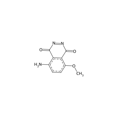 COc1ccc(N)c2c1C(=O)N=NC2=O